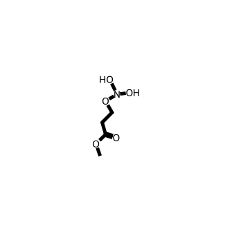 COC(=O)CCON(O)O